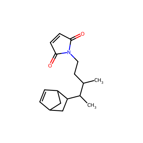 CC(CCN1C(=O)C=CC1=O)C(C)C1CC2C=CC1C2